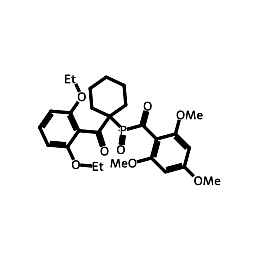 CCOc1cccc(OCC)c1C(=O)C1([P](=O)C(=O)c2c(OC)cc(OC)cc2OC)CCCCC1